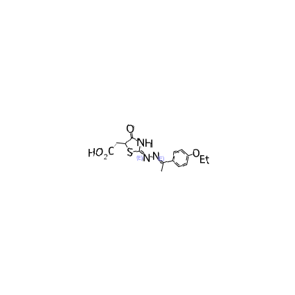 CCOc1ccc(/C(C)=N/N=C2\NC(=O)C(CC(=O)O)S2)cc1